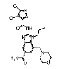 CCCn1c(NC(=O)c2snc(Cl)c2Cl)nc2cc(C(N)=O)cc(CN3CCOCC3)c21